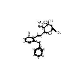 CC1(O)CC(=O)OC(CCc2ccccc2Cc2ccccc2)C1Br